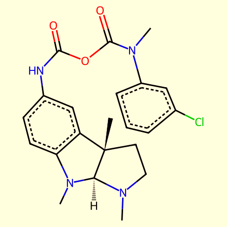 CN(C(=O)OC(=O)Nc1ccc2c(c1)[C@]1(C)CCN(C)[C@H]1N2C)c1cccc(Cl)c1